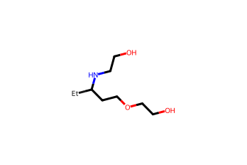 CCC(CCOCCO)NCCO